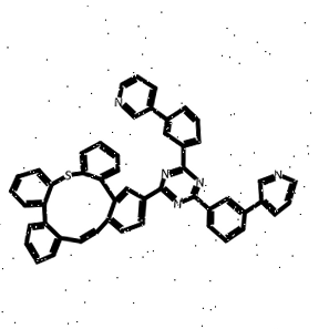 C1=C\c2ccc(-c3nc(-c4cccc(-c5cccnc5)c4)nc(-c4cccc(-c5cccnc5)c4)n3)cc2-c2ccccc2Sc2ccccc2-c2ccccc2/1